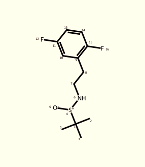 CC(C)(C)[S+]([O-])NCCc1cc(F)ccc1F